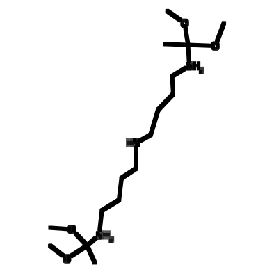 COC(C)(OC)[SiH2]CCCCNCCCC[SiH2]C(C)(OC)OC